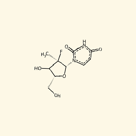 C[C@@]1(F)C(O)[C@@H](CO)O[C@H]1n1ccc(=O)[nH]c1=O